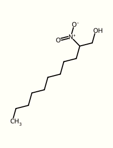 CCCCCCCCCC(CO)[N+](=O)[O-]